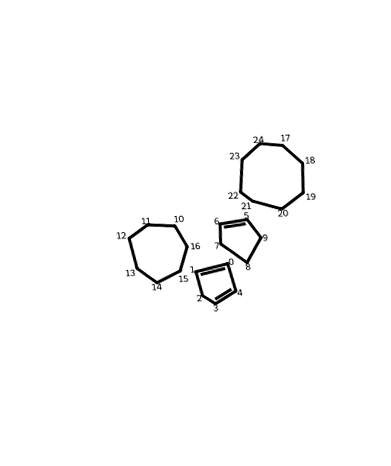 C1=CCC=C1.C1=CCCC1.C1CCCCCC1.C1CCCCCCC1